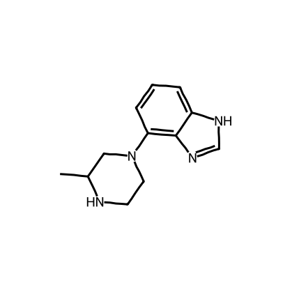 CC1CN(c2cccc3[nH]cnc23)CCN1